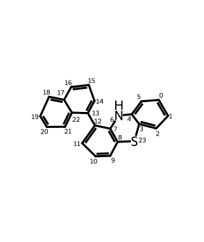 c1ccc2c(c1)Nc1c(cccc1-c1cccc3ccccc13)S2